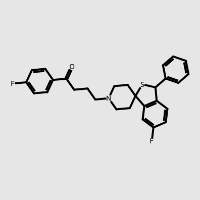 O=C(CCCN1CCC2(CC1)SC(c1ccccc1)c1ccc(F)cc12)c1ccc(F)cc1